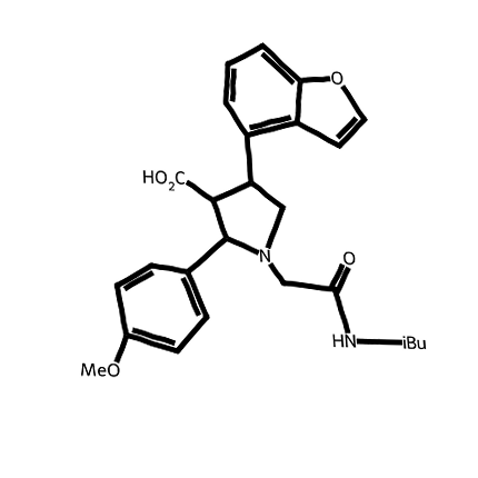 CCC(C)NC(=O)CN1CC(c2cccc3occc23)C(C(=O)O)C1c1ccc(OC)cc1